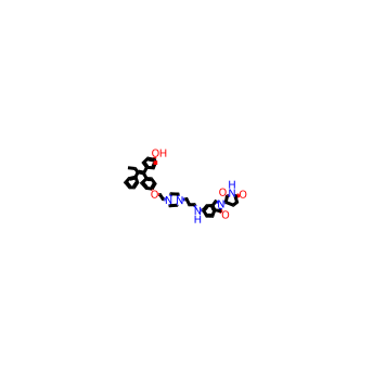 CCC(=C(c1ccc(O)cc1)c1ccc(OCCN2CCN(CCCNc3ccc4c(c3)CN(C3CCC(=O)NC3=O)C4=O)CC2)cc1)c1ccccc1